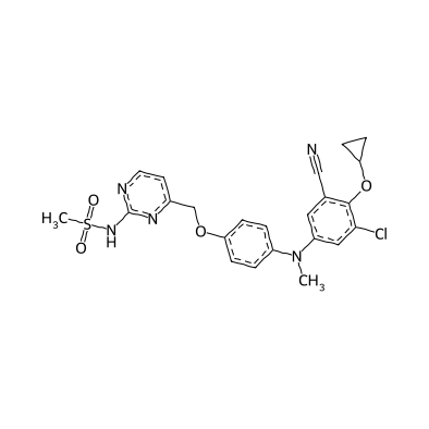 CN(c1ccc(OCc2ccnc(NS(C)(=O)=O)n2)cc1)c1cc(Cl)c(OC2CC2)c(C#N)c1